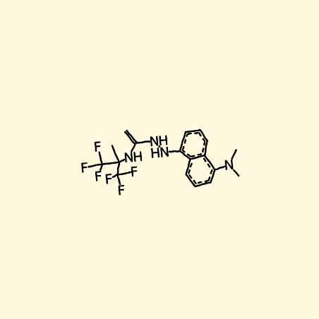 C=C(NNc1cccc2c(N(C)C)cccc12)NC(C)(C(F)(F)F)C(F)(F)F